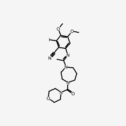 COc1cc(/N=C(\C)N2CCCN(C(=O)N3CCOCC3)CC2)c(C#N)c(I)c1OC